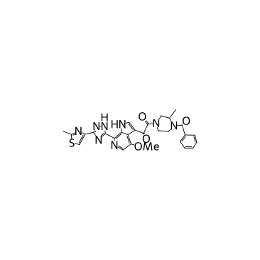 COc1cnc(-c2nc(-c3csc(C)n3)n[nH]2)c2[nH]cc(C(=O)C(=O)N3CCN(C(=O)c4ccccc4)C(C)C3)c12